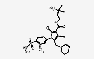 Cc1c(C(=O)NCCC(C)(C)C(=O)O)c(Cl)n(-c2ccc(S(=O)(=O)NC(C)(C)C)c(C(F)(F)F)c2)c1CC1CCCCC1